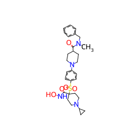 CN(Cc1ccccc1)C(=O)C1CCN(c2ccc(S(=O)(=O)C3(C(=O)NO)CCN(C4CC4)CC3)cc2)CC1